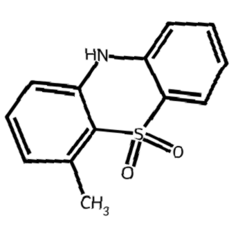 Cc1cccc2c1S(=O)(=O)c1ccccc1N2